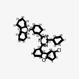 Clc1ccc2oc3cccc(-c4nc(-c5ccccc5)nc(-c5cccc(-n6c7ccccc7c7ccccc76)c5)n4)c3c2c1